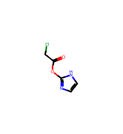 O=C(CCl)Oc1ncc[nH]1